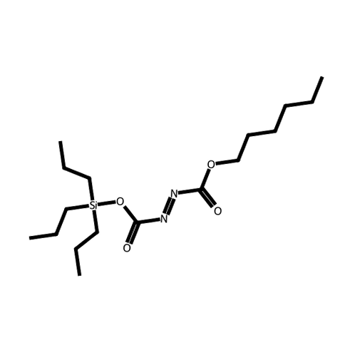 CCCCCCOC(=O)N=NC(=O)O[Si](CCC)(CCC)CCC